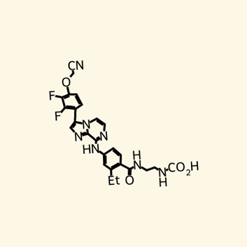 CCc1cc(Nc2nccn3c(-c4ccc(OCC#N)c(F)c4F)cnc23)ccc1C(=O)NCCNC(=O)O